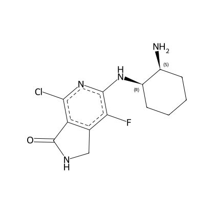 N[C@H]1CCCC[C@H]1Nc1nc(Cl)c2c(c1F)CNC2=O